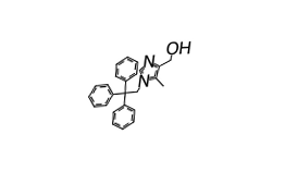 Cc1c(CO)ncn1CC(c1ccccc1)(c1ccccc1)c1ccccc1